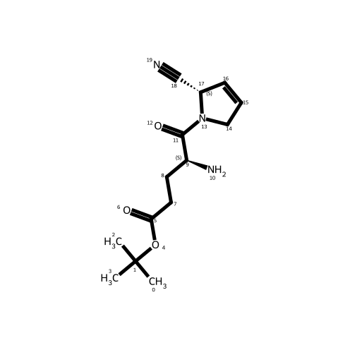 CC(C)(C)OC(=O)CC[C@H](N)C(=O)N1CC=C[C@H]1C#N